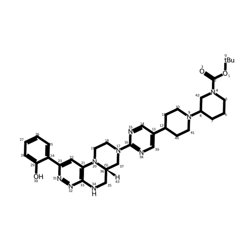 CC(C)(C)OC(=O)N1CCCC(N2CCC(c3cnc(N4CCN5c6cc(-c7ccccc7O)nnc6NC[C@H]5C4)nc3)CC2)C1